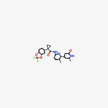 Cc1cc(-c2nc(NC(=O)C3(c4ccc5c(c4)OC(F)(F)O5)CC3)ccc2C)cc(=O)[nH]1